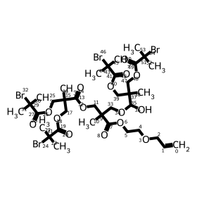 C=CCOCCOC(=O)C(C)(COC(=O)C(C)(COC(=O)C(C)(C)Br)COC(=O)C(C)(C)Br)COC(O)C(C)(COC(=O)C(C)(C)Br)COC(=O)C(C)(C)Br